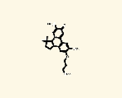 COCCCOc1cc2c(cc1OC)-c1cc(=O)c(C(=O)O)cn1C1C2CCC1(C)C